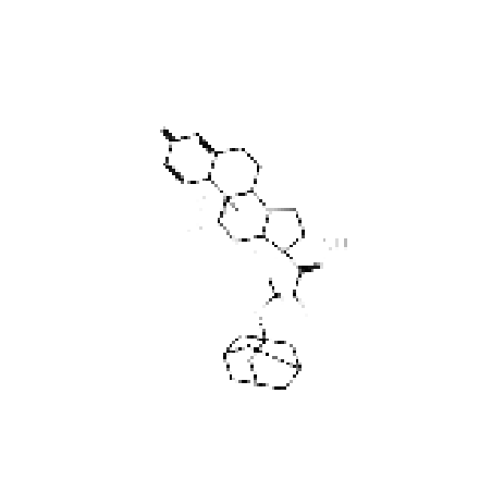 C[C@H]1CC2C3CCC4=CC(=O)C=C[C@]4(C)C3(F)[C@@H](O)C[C@]2(C)[C@]1(OC(=O)NC12CC3CC(CC(C3)C1)C2)C(=O)CO